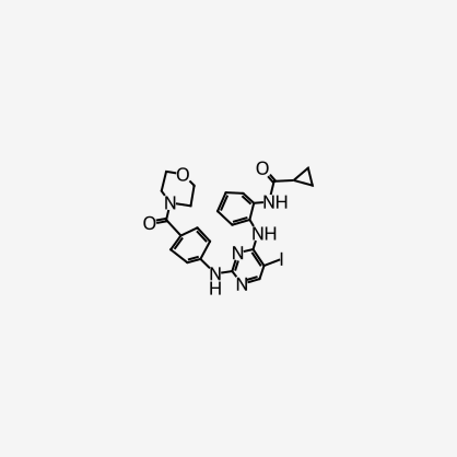 O=C(Nc1ccccc1Nc1nc(Nc2ccc(C(=O)N3CCOCC3)cc2)ncc1I)C1CC1